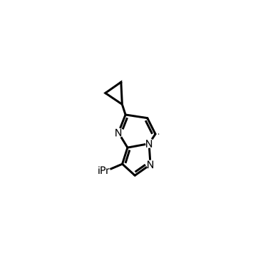 CC(C)c1cnn2[c]cc(C3CC3)nc12